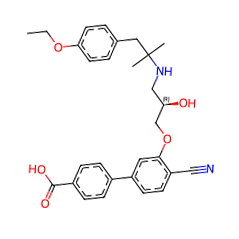 CCOc1ccc(CC(C)(C)NC[C@@H](O)COc2cc(-c3ccc(C(=O)O)cc3)ccc2C#N)cc1